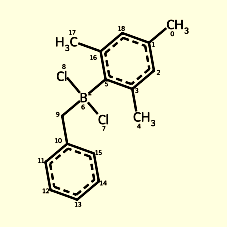 Cc1cc(C)c([B-](Cl)(Cl)Cc2ccccc2)c(C)c1